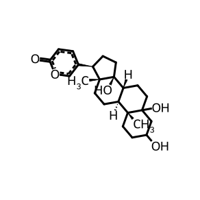 C[C@]12CCC(O)CC1(O)CC[C@@H]1[C@@H]2CC[C@]2(C)[C@@H](c3ccc(=O)oc3)CC[C@]12O